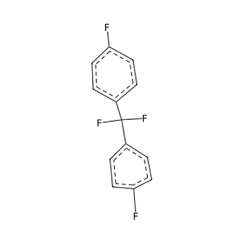 Fc1ccc(C(F)(F)c2ccc(F)cc2)cc1